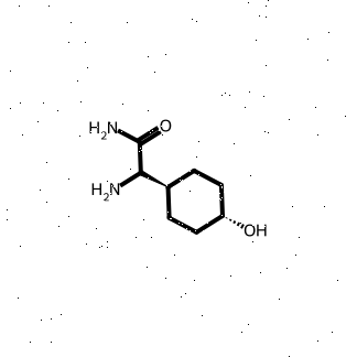 NC(=O)C(N)[C@H]1CC[C@H](O)CC1